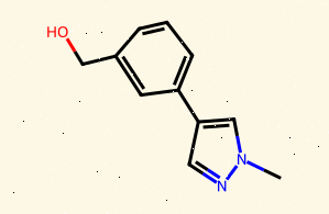 Cn1cc(-c2cccc(CO)c2)cn1